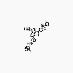 CS(=O)(=O)CCNCc1ccc(-c2cc3c(Nc4ccc(S(=O)(=O)c5ccccc5)cc4)ncnc3cn2)o1.Cl.Cl